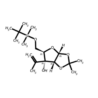 C=C(C)[C@@]1(O)[C@@H](CO[Si](C)(C)C(C)(C)C)O[C@@H]2OC(C)(C)O[C@@H]21